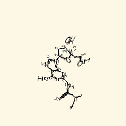 CC(C)C(=O)Nc1nc(O)c2ncn([C@H]3C[C@H](O)[C@@](C)(CO)O3)c2n1